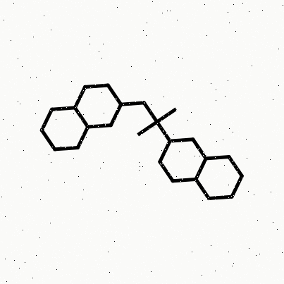 CC(C)(CC1CCC2CCCCC2C1)C1CCC2CCCCC2C1